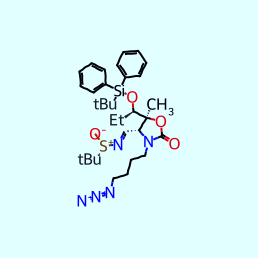 CC[C@@H](O[Si](c1ccccc1)(c1ccccc1)C(C)(C)C)[C@@]1(C)OC(=O)N(CCCCN=[N+]=[N-])[C@@H]1C=N[S@@+]([O-])C(C)(C)C